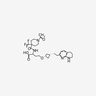 CC(=O)N1CCC(C(=O)NC(CCO[C@H]2C[C@@H](CCc3ccc4c(n3)NCCC4)C2)C(=O)O)(C(F)(F)F)CC1